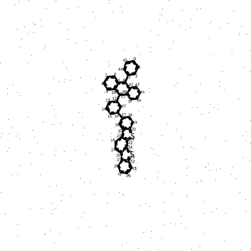 c1ccc(-c2c3ccccc3c(-c3cccc(-c4ccc5sc6c(ccc7c8ccccc8sc76)c5c4)c3)c3ccccc23)cc1